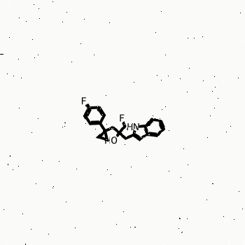 OC(CF)(Cc1cc2ccccc2[nH]1)CC1(c2ccc(F)cc2)CC1